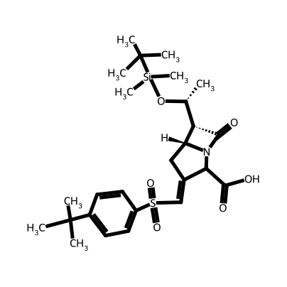 C[C@@H](O[Si](C)(C)C(C)(C)C)[C@@H]1C(=O)N2C(C(=O)O)/C(=C/S(=O)(=O)c3ccc(C(C)(C)C)cc3)C[C@H]12